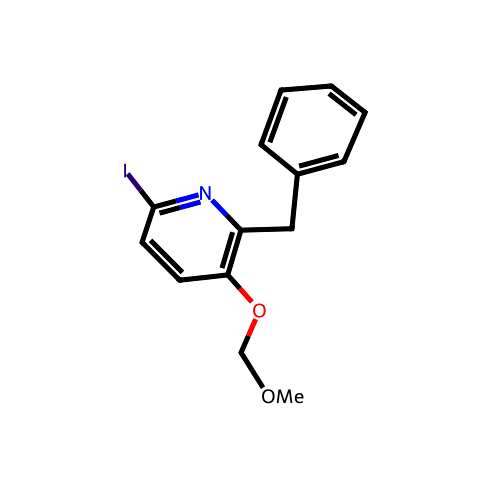 COCOc1ccc(I)nc1Cc1ccccc1